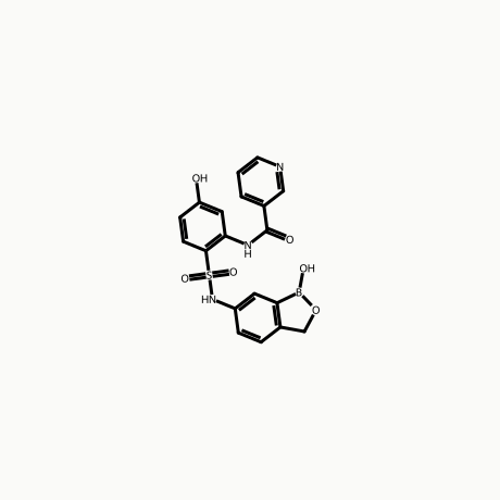 O=C(Nc1cc(O)ccc1S(=O)(=O)Nc1ccc2c(c1)B(O)OC2)c1cccnc1